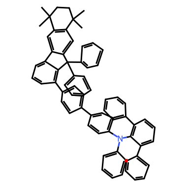 CC1(C)CCC(C)(C)c2cc3c(cc21)-c1cccc(-c2ccc(-c4ccc(N(c5ccccc5)c5c(-c6ccccc6)cccc5-c5ccccc5)cc4)cc2)c1C3(c1ccccc1)c1ccccc1